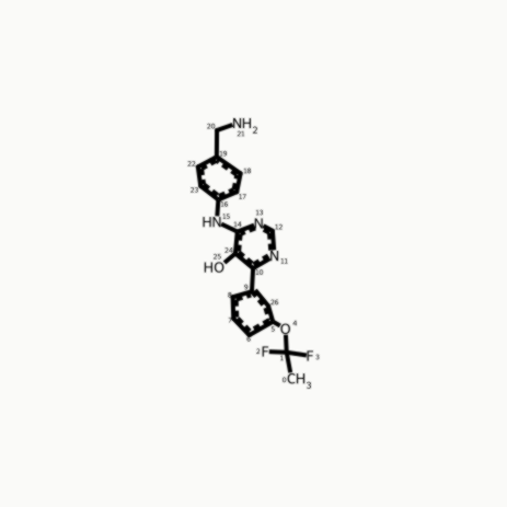 CC(F)(F)Oc1cccc(-c2ncnc(Nc3ccc(CN)cc3)c2O)c1